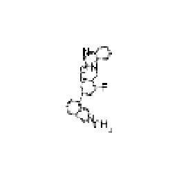 Cn1cc2cccc(-c3cc(F)c(Cn4c(=O)cnc5ccccc54)c(F)c3)c2c1